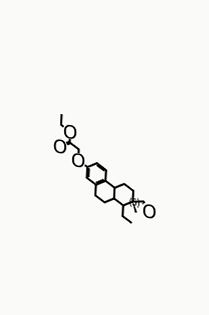 CCOC(=O)COc1ccc2c(c1)CCC1C2CC[C@](C)(C=O)C1CC